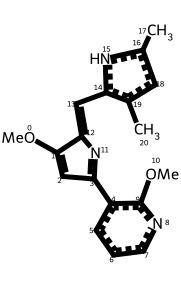 COC1=CC(c2cccnc2OC)=N/C1=C\c1[nH]c(C)cc1C